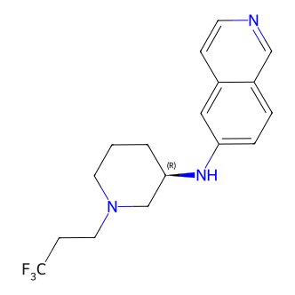 FC(F)(F)CCN1CCC[C@@H](Nc2ccc3cnccc3c2)C1